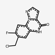 O=c1[nH]c2cc(CCl)c(F)cc2n2nccc12